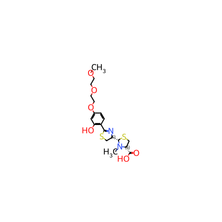 COCCOCCOc1ccc(C2=N[C@H](C3SC[C@H](C(=O)O)N3C)CS2)c(O)c1